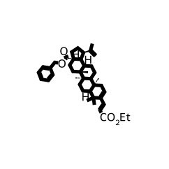 C=C(C)[C@@H]1CC[C@]2(C(=O)OCc3ccccc3)CC[C@]3(C)[C@H](CCC4[C@@]5(C)CC=C(C=CC(=O)OCC)C(C)(C)[C@@H]5CC[C@]43C)[C@@H]12